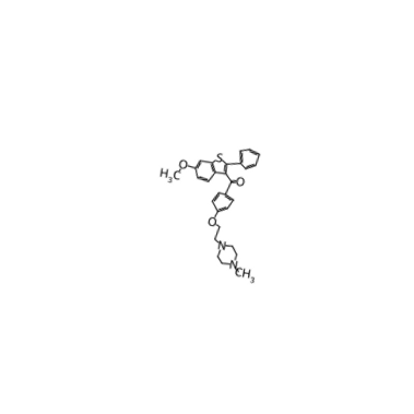 COc1ccc2c(C(=O)c3ccc(OCCN4CCN(C)CC4)cc3)c(-c3ccccc3)sc2c1